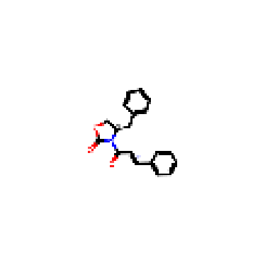 O=C(/C=C/c1ccccc1)N1C(=O)OC[C@H]1Cc1ccccc1